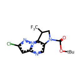 CC(C)(C)OC(=O)N1CC(C(F)(F)F)c2c1cnc1cc(Cl)nn21